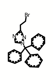 BrCCc1ncn(C(c2ccccc2)(c2ccccc2)c2ccccc2)n1